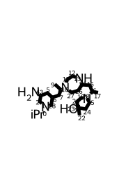 CC(C)N1CC(N)CC(CC(C)N2CCNC(CC(C)N3CCC(C)(O)CC3)CC2)C1